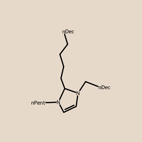 CCCCCCCCCCCCCCC1N(CCCCC)C=CN1CCCCCCCCCCC